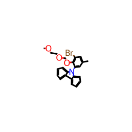 COCCOCOc1c(Br)cc(C)cc1-n1c2ccccc2c2ccccc21